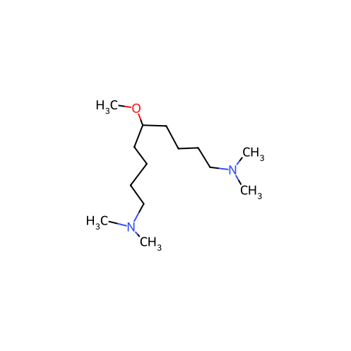 COC(CCCCN(C)C)CCCCN(C)C